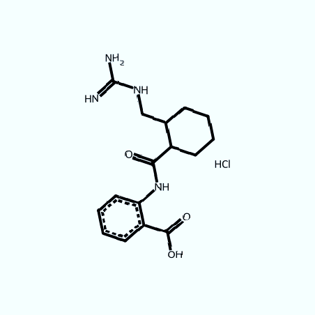 Cl.N=C(N)NCC1CCCCC1C(=O)Nc1ccccc1C(=O)O